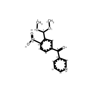 COC(OC)c1cc(C(=O)c2cccnc2)ccc1[N+](=O)[O-]